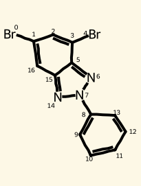 Brc1cc(Br)c2nn(-c3ccccc3)nc2c1